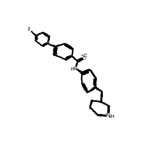 Cl.O=C(Nc1ccc(CC2CCCNC2)cc1)c1ccc(-c2ccc(F)cc2)cc1